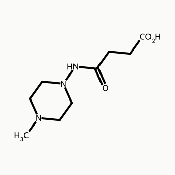 CN1CCN(NC(=O)CCC(=O)O)CC1